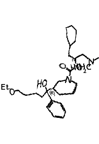 CCOCCCCC(O)(c1ccccc1)[C@@H]1CCCN(C(=O)N[C@@H](CC2CCCCC2)CN(C)C(=O)O)C1